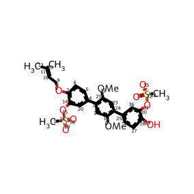 COc1cc(-c2ccc(OCC=C(C)C)c(OS(C)(=O)=O)c2)c(OC)cc1-c1ccc(O)c(OS(C)(=O)=O)c1